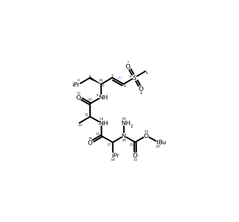 CC(C)C[C@@H](/C=C/S(C)(=O)=O)NC(=O)C(C)NC(=O)C(C(C)C)N(N)C(=O)OC(C)(C)C